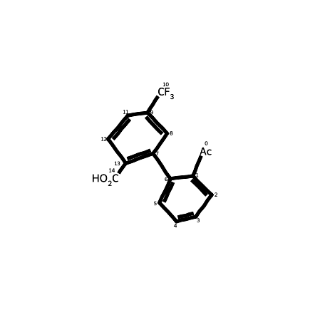 CC(=O)c1ccccc1-c1cc(C(F)(F)F)ccc1C(=O)O